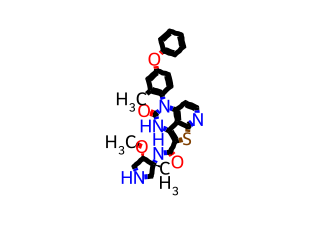 CO[C@@H]1CNC[C@]1(C)NC(=O)c1sc2nccc3c2c1NC(=O)N3c1ccc(Oc2ccccc2)cc1C